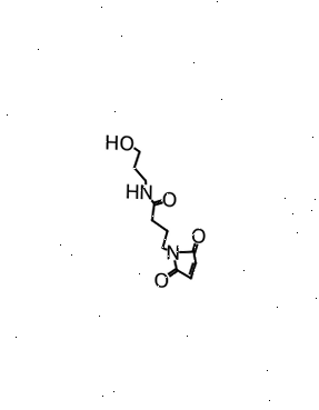 O=C(CCCN1C(=O)C=CC1=O)NCCCO